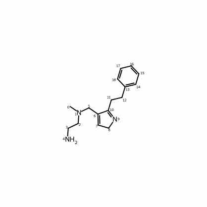 CN(CCN)CC1=CCN=C1CCc1ccccc1